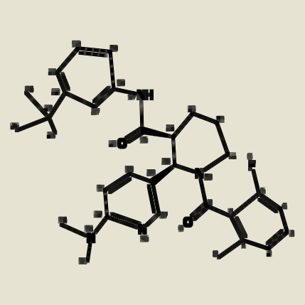 Cc1cccc(F)c1C(=O)N1CCC[C@H](C(=O)Nc2cccc(C(C)(C)C)c2)[C@@H]1c1ccc(N(C)C)nc1